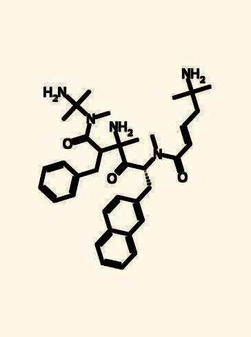 CN(C(=O)/C=C/CC(C)(C)N)[C@H](Cc1ccc2ccccc2c1)C(=O)C(C)(N)C(Cc1ccccc1)C(=O)N(C)C(C)(C)N